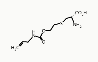 C=CCNC(=O)OCCSC[C@@H](N)C(=O)O